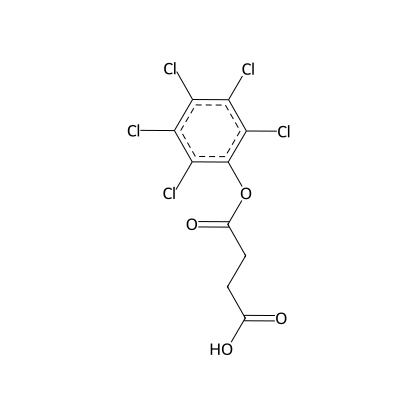 O=C(O)CCC(=O)Oc1c(Cl)c(Cl)c(Cl)c(Cl)c1Cl